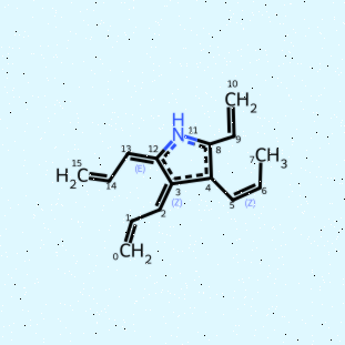 C=C/C=c1/c(/C=C\C)c(C=C)[nH]/c1=C/C=C